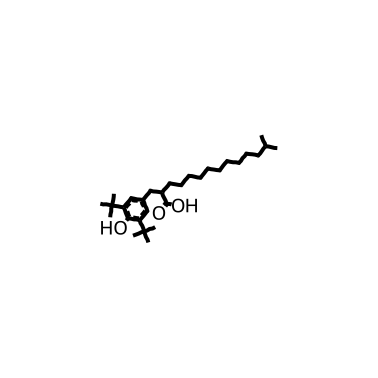 CC(C)CCCCCCCCCCC(Cc1cc(C(C)(C)C)c(O)c(C(C)(C)C)c1)C(=O)O